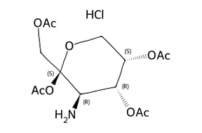 CC(=O)OC[C@]1(OC(C)=O)OC[C@H](OC(C)=O)[C@H](OC(C)=O)[C@H]1N.Cl